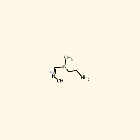 C/N=C\N(C)CCN